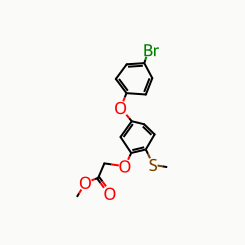 COC(=O)COc1cc(Oc2ccc(Br)cc2)ccc1SC